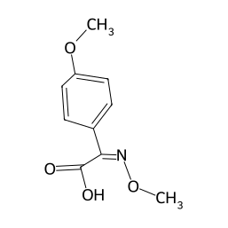 CON=C(C(=O)O)c1ccc(OC)cc1